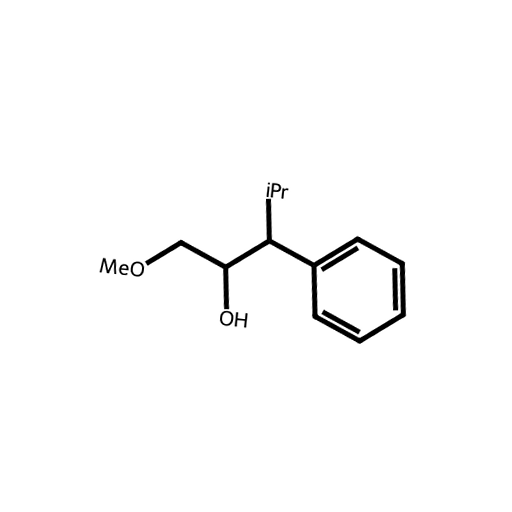 COCC(O)C(c1ccccc1)C(C)C